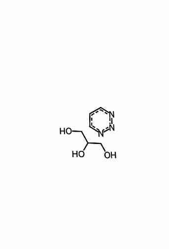 OCC(O)CO.c1cnnnc1